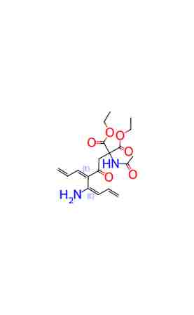 C=C/C=C(N)\C(=C/C=C)C(=O)CC(NC(C)=O)(C(=O)OCC)C(=O)OCC